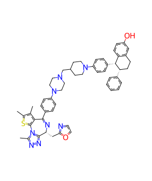 Cc1sc2c(c1C)C(c1ccc(N3CCN(CC4CCN(c5ccc([C@@H]6c7ccc(O)cc7CC[C@@H]6c6ccccc6)cc5)CC4)CC3)cc1)=N[C@H](Cc1ncco1)c1nnc(C)n1-2